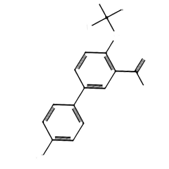 O=C(O)c1cc(-c2ccc(Cl)cc2)ccc1OC(F)(F)F